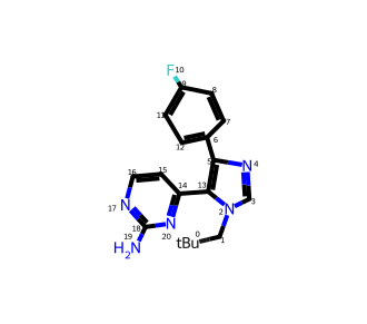 CC(C)(C)Cn1cnc(-c2ccc(F)cc2)c1-c1ccnc(N)n1